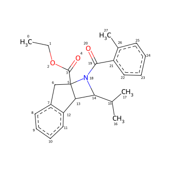 CCOC(=O)C12Cc3ccccc3C1C(C(C)C)N2C(=O)c1ccccc1C